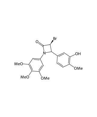 COc1ccc(C2[C@H](Br)C(=O)N2c2cc(OC)c(OC)c(OC)c2)cc1O